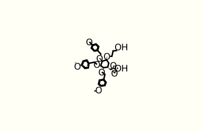 COc1ccc(CO[C@H]2[C@H](OCc3ccc(OC)cc3)[C@@H](CS(=O)(=O)O)C[C@@H](OCCCO)[C@@H]2OCc2ccc(OC)cc2)cc1